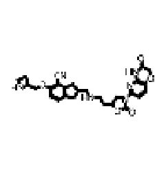 N#Cc1c(OCC2CCN2)ccc2c1CC(CNCCC1CN(c3ccc4c(n3)NC(=O)CO4)C(=O)O1)C2